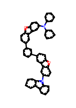 c1ccc(N(c2ccccc2)c2ccc3oc4ccc(-c5cccc(-c6ccc7oc8ccc(-n9c%10ccccc%10c%10ccccc%109)cc8c7c6)c5)cc4c3c2)cc1